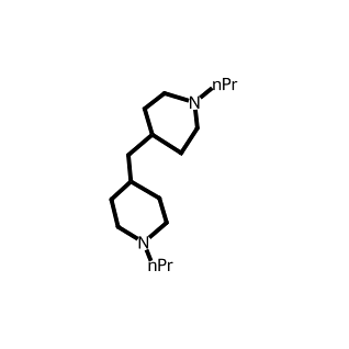 CCCN1CCC(CC2CCN(CCC)CC2)CC1